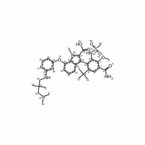 COc1c(C(N)=O)cc(C(C)(C)C)c(-c2c(C(=O)O)n(C)c3c(Oc4ccnc(NCC(C)(C)CN(C)C)n4)cccc23)c1NS(C)(=O)=O